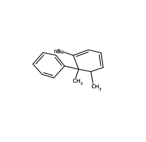 CCCCC1=CC=CC(C)C1(C)c1ccccc1